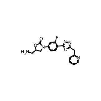 NCC1CN(c2ccc(-c3nnc(Cc4ccccn4)o3)c(F)c2)C(=O)O1